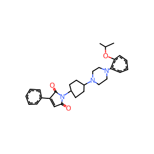 CC(C)Oc1ccccc1N1CCN(C2CCC(N3C(=O)C=C(c4ccccc4)C3=O)CC2)CC1